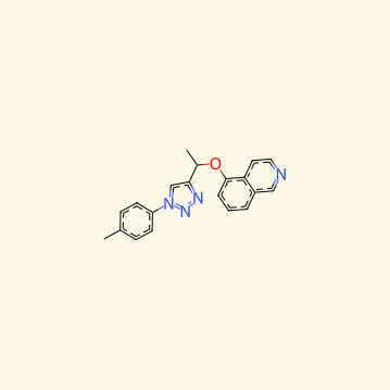 Cc1ccc(-n2cc(C(C)Oc3cccc4cnccc34)nn2)cc1